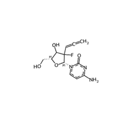 C=C=CC1(F)C(O)[C@@H](CO)O[C@H]1n1ccc(N)nc1=O